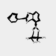 CC1(C)OB(c2cccc3nc(-c4ccccc4)sc23)OC1(C)C